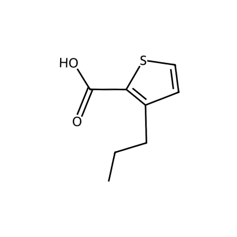 CCCc1ccsc1C(=O)O